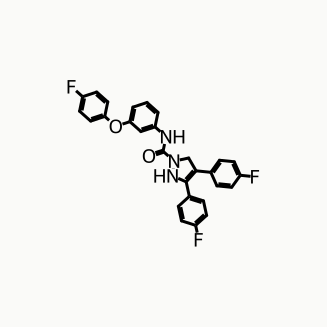 O=C(Nc1cccc(Oc2ccc(F)cc2)c1)N1CC(c2ccc(F)cc2)=C(c2ccc(F)cc2)N1